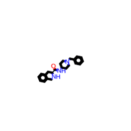 O=C(NC1CCN(Cc2ccccc2)CC1)[C@@H]1Cc2ccccc2CN1